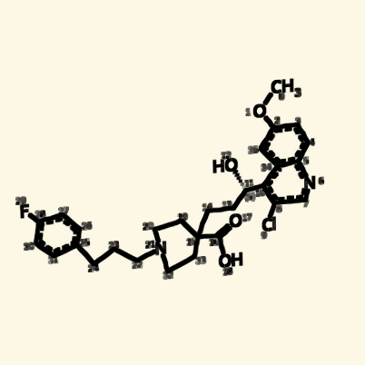 COc1ccc2ncc(Cl)c([C@@H](O)CCC3(C(=O)O)CCN(CCCc4ccc(F)cc4)CC3)c2c1